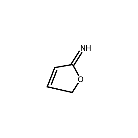 N=C1C=CCO1